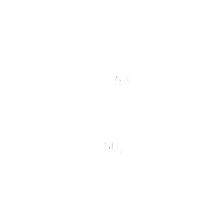 Nc1cccc(Oc2cc(=O)[nH]c3ccccc23)c1